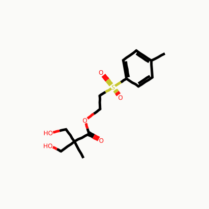 Cc1ccc(S(=O)(=O)CCOC(=O)C(C)(CO)CO)cc1